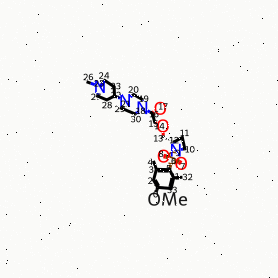 COc1cc(C)c(S(=O)(=O)N2CC[C@H]2COCC(=O)N2CCN(C3CCN(C)CC3)CC2)c(C)c1